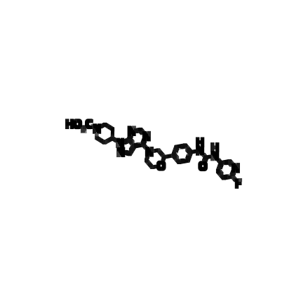 O=C(Nc1ccc(C2CN(c3ncnc4c3cnn4C3CCN(C(=O)O)CC3)CCO2)cc1)Nc1ccc(F)nc1